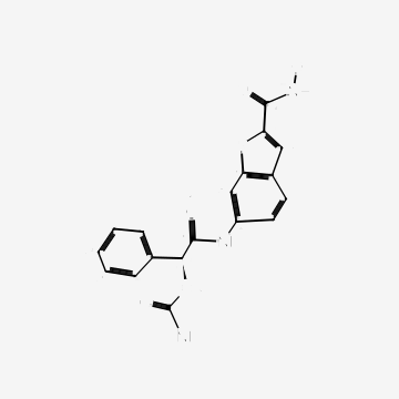 NC(=O)O[C@H](C(=O)Nc1ccc2cc(C(=O)NO)sc2c1)c1ccccc1